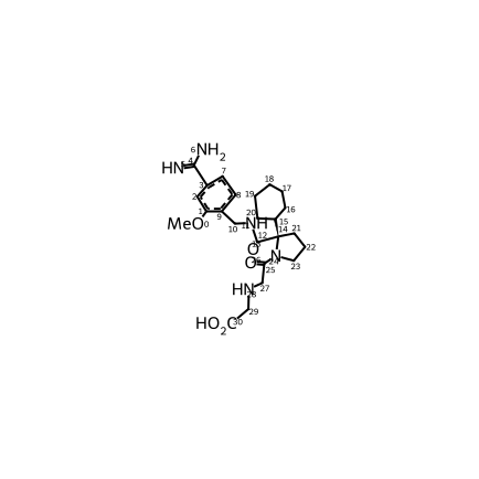 COc1cc(C(=N)N)ccc1CNC(=O)[C@]1(C2CCCCC2)CCCN1C(=O)CNCC(=O)O